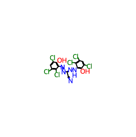 N#CC(N=Nc1c(O)c(Cl)cc(Cl)c1Cl)=NNc1c(O)c(Cl)cc(Cl)c1Cl